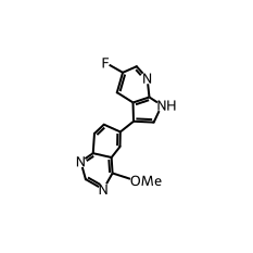 COc1ncnc2ccc(-c3c[nH]c4ncc(F)cc34)cc12